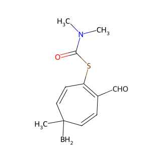 BC1(C)C=CC(C=O)=C(SC(=O)N(C)C)C=C1